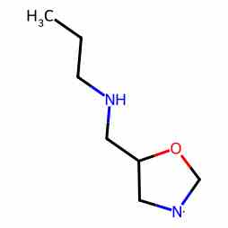 CCCNCC1C[N]CO1